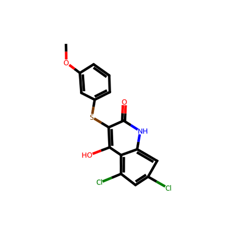 COc1cccc(Sc2c(O)c3c(Cl)cc(Cl)cc3[nH]c2=O)c1